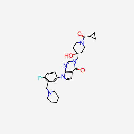 O=C(C1CC1)N1CCC(O)(Cn2cnc3c(ccn3-c3ccc(F)c(CN4CCCCC4)c3)c2=O)CC1